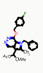 COC(OC(C)=O)c1c(C)n(Cc2ccccc2)c2c(OCc3ccc(F)cc3)nncc12